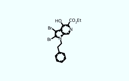 CCOC(=O)c1ncc2c(c1O)c(Br)c(Br)n2CCc1ccccc1